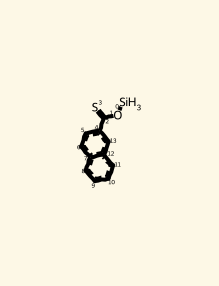 [SiH3]OC(=S)c1ccc2ccccc2c1